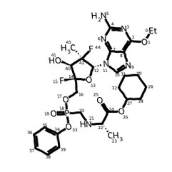 CCOc1nc(N)nc2c1ncn2[C@@H]1O[C@](F)(COP(=O)(CN[C@@H](C)C(=O)OC2CCCCC2)Oc2ccccc2)[C@@H](O)[C@@]1(C)F